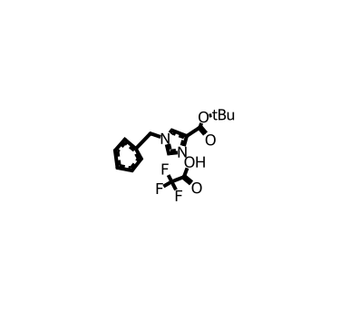 CC(C)(C)OC(=O)c1cn(Cc2ccccc2)cn1.O=C(O)C(F)(F)F